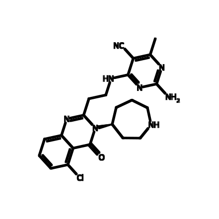 Cc1nc(N)nc(NCCc2nc3cccc(Cl)c3c(=O)n2[C@H]2CCCNCC2)c1C#N